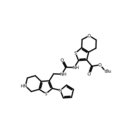 CC(C)(C)OC(=O)c1c(NC(=O)NCc2c(-n3cccc3)sc3c2CCNC3)sc2c1CCOC2